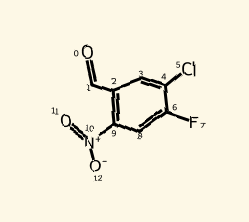 O=Cc1cc(Cl)c(F)cc1[N+](=O)[O-]